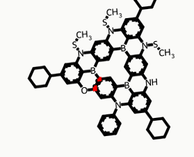 CSN1c2cc3c(cc2B2c4ccccc4Oc4cc(C5CCCCC5)cc1c42)B1c2cc4c(cc2N(SC)c2cc(C5CCCCC5)cc(c21)N3SC)Nc1cc(C2CCCCC2)cc2c1B4c1ccccc1N2c1ccccc1